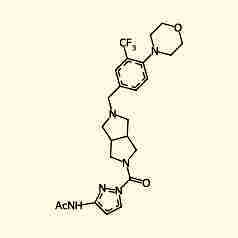 CC(=O)Nc1ccn(C(=O)N2CC3CN(Cc4ccc(N5CCOCC5)c(C(F)(F)F)c4)CC3C2)n1